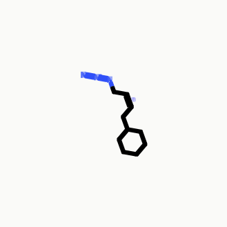 [N-]=[N+]=NC/C=C\CC1CCCCC1